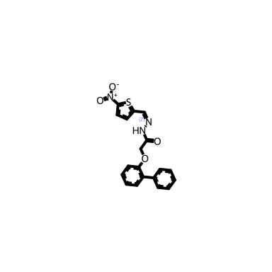 O=C(COc1ccccc1-c1ccccc1)N/N=C\c1ccc([N+](=O)[O-])s1